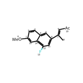 COc1ccc2cc(C(C)=CC(C)=O)cc(F)c2c1